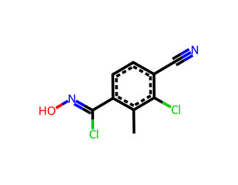 Cc1c(C(Cl)=NO)ccc(C#N)c1Cl